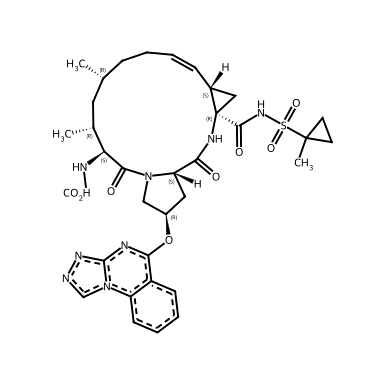 C[C@@H]1CCC=C[C@@H]2C[C@@]2(C(=O)NS(=O)(=O)C2(C)CC2)NC(=O)[C@@H]2C[C@@H](Oc3nc4nncn4c4ccccc34)CN2C(=O)[C@@H](NC(=O)O)[C@H](C)C1